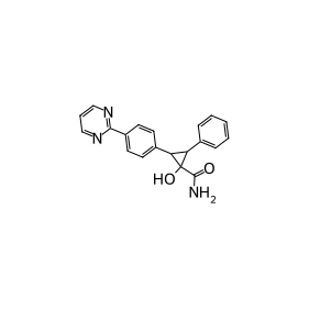 NC(=O)C1(O)C(c2ccccc2)C1c1ccc(-c2ncccn2)cc1